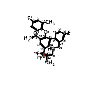 Cc1cc(F)ccc1Oc1c(C(N)=O)cc(C(F)(F)F)cc1-c1ccc(F)cc1CNCC(N)=O